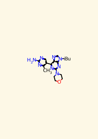 CCC(C)n1cnc2c(-c3cnc(N)nc3C)nc(N3CCOCC3)nc21